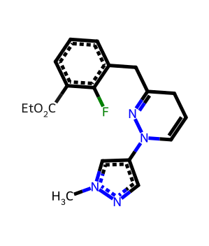 CCOC(=O)c1cccc(CC2=NN(c3cnn(C)c3)C=CC2)c1F